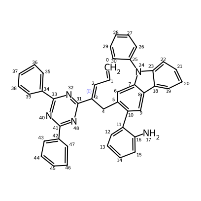 C=C/C=C(\Cc1cc2c(cc1-c1ccccc1N)c1ccccc1n2-c1ccccc1)c1nc(-c2ccccc2)nc(-c2ccccc2)n1